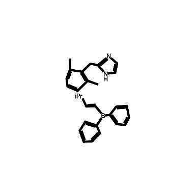 CC(C)C=CB(c1ccccc1)c1ccccc1.Cc1cccc(C)c1Cc1ncc[nH]1